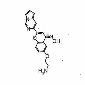 NCCOc1ccc2oc(-c3cc4cccn4cn3)c/c(=N/O)c2c1